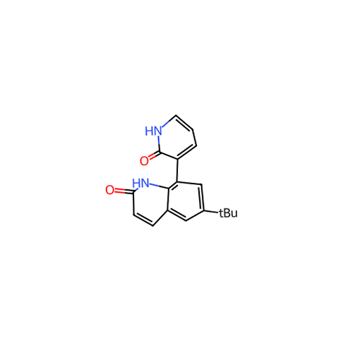 CC(C)(C)c1cc(-c2ccc[nH]c2=O)c2[nH]c(=O)ccc2c1